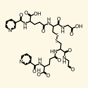 O=CCNC(=O)C(CSSCC(NC(=O)CCC(NC(=O)c1cccnc1)C(=O)O)C(=O)NCC(=O)O)NC(=O)CCC(NC(=O)c1cccnc1)C(=O)O